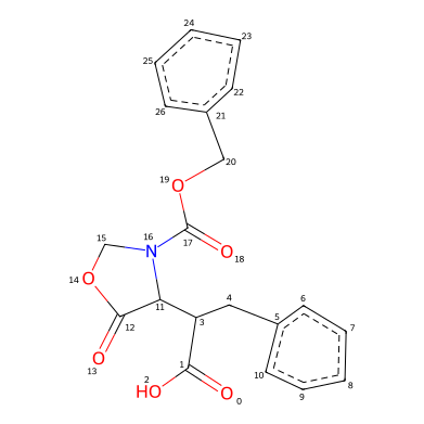 O=C(O)C(Cc1ccccc1)C1C(=O)OCN1C(=O)OCc1ccccc1